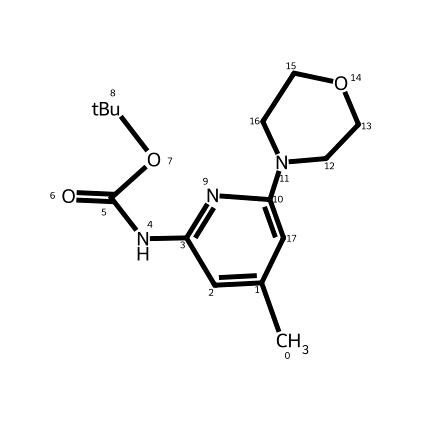 Cc1cc(NC(=O)OC(C)(C)C)nc(N2CCOCC2)c1